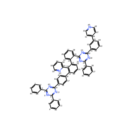 c1ccc(-c2nc(-c3ccccc3)nc(-c3ccc(-c4cccc(-c5ccccc5-c5nc(-c6ccccc6)nc(-c6cccc(-c7ccncc7)c6)n5)c4-c4ccccn4)cc3)n2)cc1